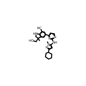 Cn1nc(C2CCCCC2)cc1Nc1nccc(-c2cc(C#N)c3c(c2)C(C)(CO)CN3)n1